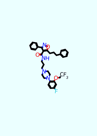 O=C(NCCCN1CCN(c2ccc(F)cc2OCC(F)(F)F)CC1)c1c(-c2ccccc2)noc1CCCc1ccccc1